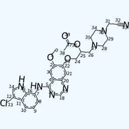 COc1cc2c(Nc3cccc4c(Cl)c[nH]c34)ncnc2cc1OCC(CN1CCN(CC#N)CC1)OC(C)=O